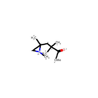 COC(=O)C(C)(C)CC1(C)CN1C